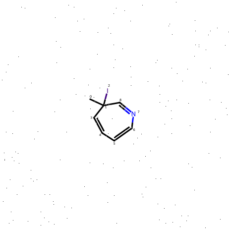 CC1(I)C=CC=CN=C1